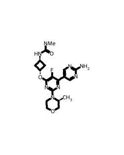 CNC(=O)N[C@H]1C[C@H](Oc2nc(N3CCOC[C@@H]3C)nc(-c3cnc(N)nc3)c2F)C1